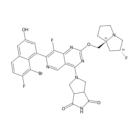 O=C1NC(=O)C2CN(c3nc(OC[C@@]45CCCN4C[C@H](F)C5)nc4c(F)c(-c5cc(O)cc6ccc(F)c(Br)c56)ncc34)CC12